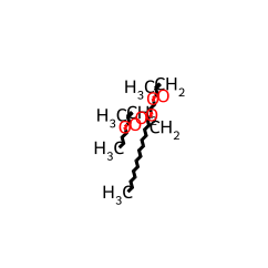 C=C(C)C(=O)OCCCC.C=C(C)C(=O)OCCOC(=O)C(=C)CCCCCCCCCCCCC